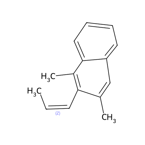 C/C=C\c1c(C)cc2ccccc2c1C